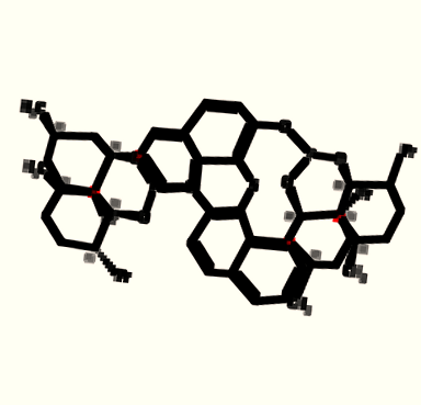 CC(C)C1CC[C@@H](C)C[C@H]1OP(Oc1ccc2ccccc2c1Sc1c(OP(O[C@@H]2C[C@H](C)CCC2C(C)C)O[C@@H]2C[C@H](C)CC[C@H]2C(C)C)ccc2ccccc12)O[C@@H]1C[C@H](C)CC[C@H]1C(C)C